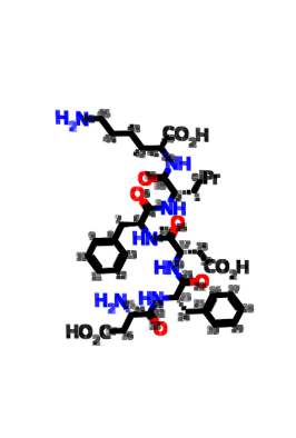 CC(C)C[C@H](NC(=O)[C@H](Cc1ccccc1)NC(=O)[C@H](CC(=O)O)NC(=O)[C@H](Cc1ccccc1)NC(=O)[C@@H](N)CC(=O)O)C(=O)N[C@@H](CCCCN)C(=O)O